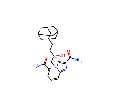 NC(=O)C1=C[N+]2(C[C@H](O)CCC34CC5CC(CC(C5)C3)C4)C(C(N)=O)=CC=CC2=N1